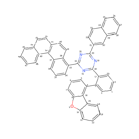 c1ccc(-c2cccc3oc4ccccc4c23)c(-c2nc(-c3ccc4ccccc4c3)nc(-c3cccc4c3ccc3ccc5ccccc5c34)n2)c1